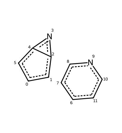 c1cc2nc-2c1.c1ccncc1